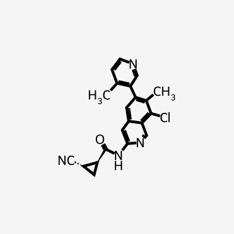 Cc1ccncc1-c1cc2cc(NC(=O)[C@H]3C[C@@H]3C#N)ncc2c(Cl)c1C